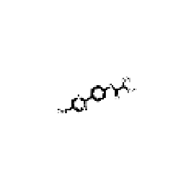 CCCCCCCCc1cnc(-c2ccc(OC(=O)C(CCC)CCC)cc2)nc1